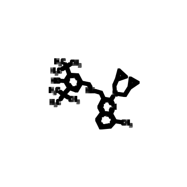 Cc1cccc2cc(CNCc3cc(C(C)(C)C)c(O)c(C(C)(C)C)c3)c(N(CC3CC3)CC3CC3)nc12